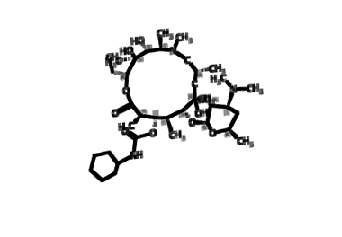 CC[C@H]1OC(=O)[C@H](C)[C@@H](OC(=O)NC2CCCCC2)[C@H](C)[C@@H](O[C@@H]2O[C@H](C)C[C@H](N(C)C)[C@H]2O)[C@](C)(O)C[C@@H](C)CN(C)[C@H](C)[C@@H](O)[C@]1(C)O